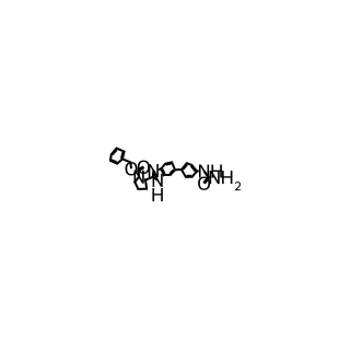 NC(=O)Nc1ccc(-c2ccc3nc(C4CCCN4C(=O)OCc4ccccc4)[nH]c3c2)cc1